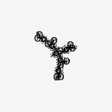 COC(=O)c1ccc(COc2ccc(Cc3cc(C)cc(Cc4ccc(OCc5ccc(C(=O)OC)cc5)c(C=O)c4)c3OCc3ccc(C(=O)OC)cc3)cc2C=O)cc1